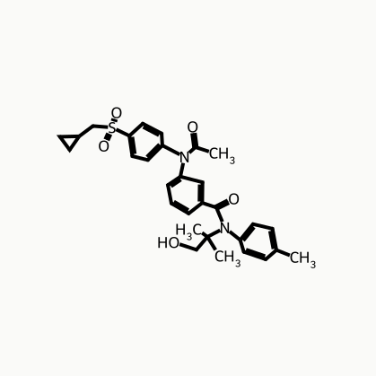 CC(=O)N(c1ccc(S(=O)(=O)CC2CC2)cc1)c1cccc(C(=O)N(c2ccc(C)cc2)C(C)(C)CO)c1